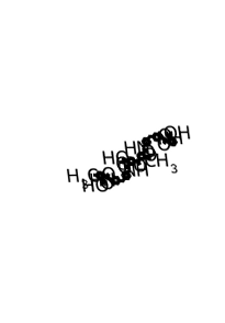 CC(=O)c1cc(C(=O)c2ccc(C(=O)O)c(C(=O)Nc3ccc(Cc4ccc(NC(=O)c5ccc(C)cc5C(=O)O)cc4)cc3)c2)ccc1C(=O)Nc1ccc(Cc2ccc(NC(=O)c3ccccc3C(=O)O)cc2)cc1